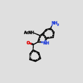 CC(=O)Nc1c(C(=O)c2ccccc2)[nH]c2ccc(N)cc12